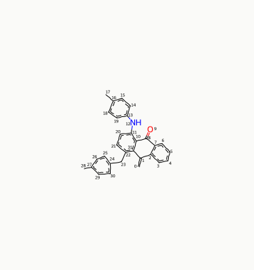 C=C1c2ccccc2C(=O)c2c(Nc3ccc(C)cc3)ccc(Cc3ccc(C)cc3)c21